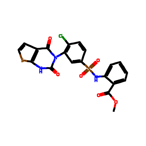 COC(=O)c1ccccc1NS(=O)(=O)c1ccc(Cl)c(-n2c(=O)[nH]c3sccc3c2=O)c1